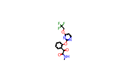 CNC(=O)C(=O)c1ccccc1Oc1nccc(OCC(F)(F)F)n1